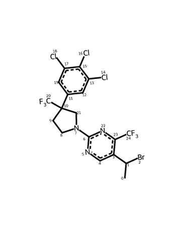 CC(Br)c1cnc(N2CCC(c3cc(Cl)c(Cl)c(Cl)c3)(C(F)(F)F)C2)nc1C(F)(F)F